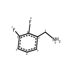 NCc1c[c]cc(F)c1F